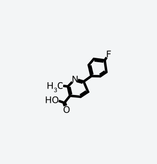 Cc1nc(-c2ccc(F)cc2)ccc1C(=O)O